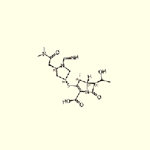 CC(O)[C@H]1C(=O)N2C(C(=O)O)=C(S[C@H]3C[C@@H](CC(=O)N(C)C)N(C=N)C3)[C@H](C)[C@H]12